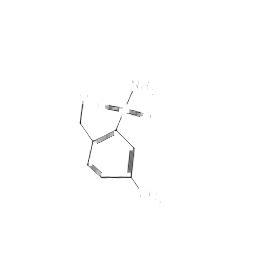 Cc1ccc(C[O])c(S(N)(=O)=O)c1